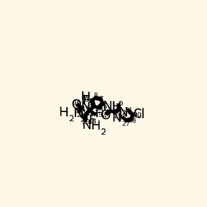 Cc1c(C(=O)Nc2ccc(F)c([C@](NC(N)=O)(C(F)F)[C@H]3C[C@H]3N)c2)nc2ccc(Cl)cn12